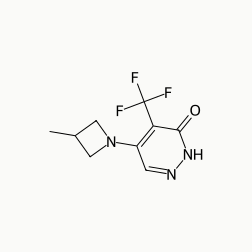 CC1CN(c2cn[nH]c(=O)c2C(F)(F)F)C1